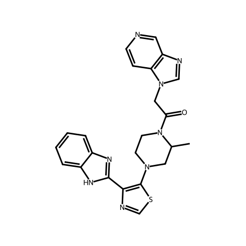 CC1CN(c2scnc2-c2nc3ccccc3[nH]2)CCN1C(=O)Cn1cnc2cnccc21